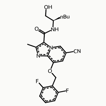 CCCC[C@H](CO)NC(=O)c1c(C)nc2c(OCc3c(F)cccc3F)cc(C#N)cn12